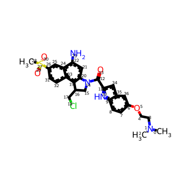 CN(C)CCOc1ccc2[nH]c(C(=O)N3CC(CCl)c4c3cc(N)c3cc(S(C)(=O)=O)ccc43)cc2c1